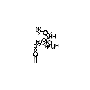 Cc1ncsc1-c1ccc([C@H](C)NC(=O)[C@@H]2C[C@@H](O)CN2C(=O)[C@H](c2cc(OC3CC4(CCNCC4)C3)no2)C(C)C)cc1.Cl